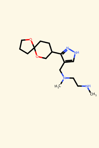 CNCCN(C)Cc1c[nH]nc1C1CCC2(CCCO2)OC1